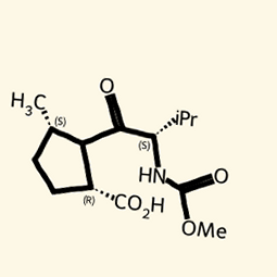 COC(=O)N[C@H](C(=O)C1[C@@H](C)CC[C@H]1C(=O)O)C(C)C